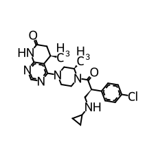 C[C@@H]1CC(=O)Nc2ncnc(N3CCN(C(=O)[C@H](CNC4CC4)c4ccc(Cl)cc4)[C@H](C)C3)c21